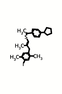 C=C(S/C=C(\C)Cc1cc(C)c(I)cc1C)c1ccc(C2CCCC2)cc1